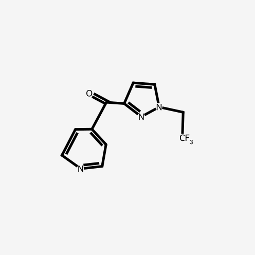 O=C(c1ccncc1)c1ccn(CC(F)(F)F)n1